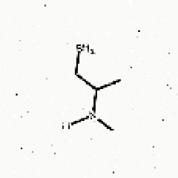 BCC(C)N(C)CC